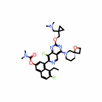 CCc1c(F)ccc2cc(OC(=O)N(C)C)cc(-c3ncc4c(N5CCC[C@]6(CCO6)C5)nc(OCC5(CN(C)C)CC5)nc4c3F)c12